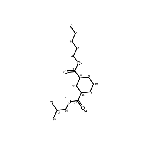 CCCCCOC(=O)C1CCCC(C(=O)OCC(C)C)C1